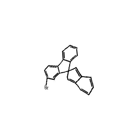 Brc1ccc2c(c1)C1(C=c3ccccc3=C1)c1ccccc1-2